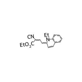 [C-]#[N+]C(=CC=C1C=Cc2ccccc2N1CC)C(=O)OCC